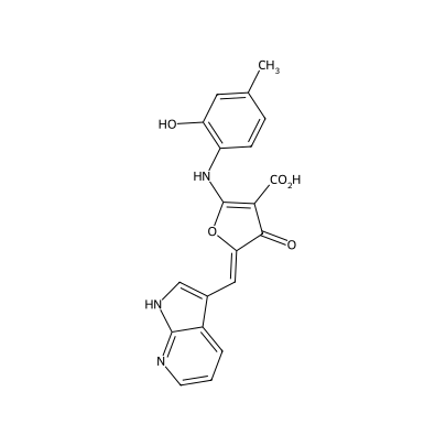 Cc1ccc(NC2=C(C(=O)O)C(=O)C(=Cc3c[nH]c4ncccc34)O2)c(O)c1